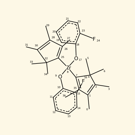 CC1=C(C)C(C)(C)[C]([Zr]([O]c2ccccc2F)([O]c2ccccc2F)[C]2=C(C)C(C)=C(C)C2(C)C)=C1C